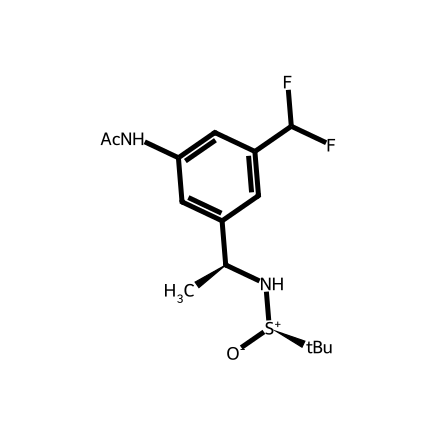 CC(=O)Nc1cc(C(F)F)cc([C@H](C)N[S@+]([O-])C(C)(C)C)c1